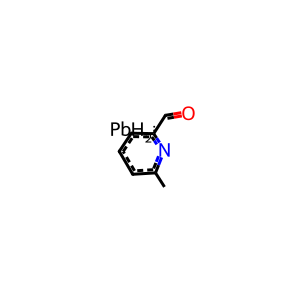 Cc1cccc(C=O)n1.[PbH2]